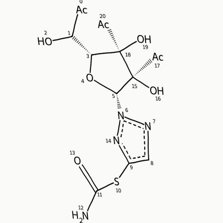 CC(=O)C(O)[C@H]1O[C@@H](n2ncc(SC(N)=O)n2)[C@@](O)(C(C)=O)[C@@]1(O)C(C)=O